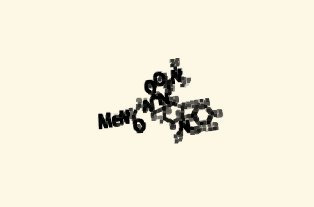 CNC(=O)CN1CC2(CCC(c3ccccc3)(N(C)C)CC2)N(CC(=O)N(C)C)C1=O